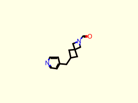 O=CN1CC2(CC(Cc3ccncc3)C2)C1